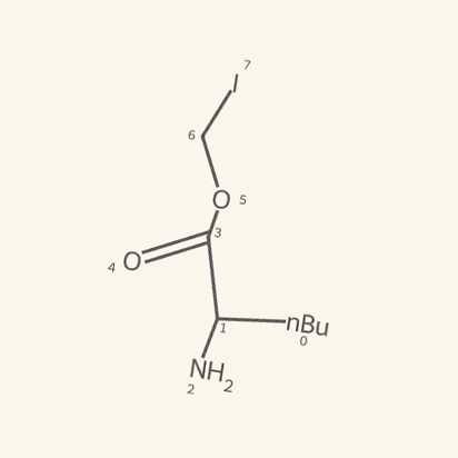 CCCCC(N)C(=O)OCI